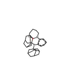 c1ccc(P(C23CC4CC(CC(C4)C2)C3)C23CC4CC(CC(C4)C2)C3)c(N2CCCCOC2)c1